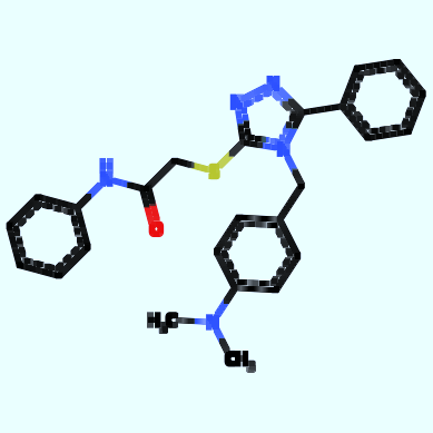 CN(C)c1ccc(Cn2c(SCC(=O)Nc3ccccc3)nnc2-c2ccccc2)cc1